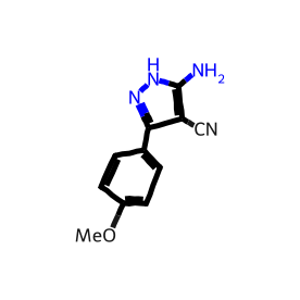 COc1ccc(-c2n[nH]c(N)c2C#N)cc1